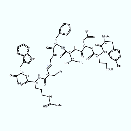 CNC(=N)NCCC[C@H](NC(=O)[C@@H](/C=C/CNC(=O)[C@H](Cc1ccccc1)NC(=O)[C@@H](NC(=O)[C@H](CC(N)=O)NC(=O)[C@H](CCC(=O)O)NC(=O)[C@@H](Cc1ccc(O)cc1)NC(C)=O)[C@@H](C)O)CC(C)C)C(=O)N[C@@H](Cc1c[nH]c2ccccc12)C(N)=O